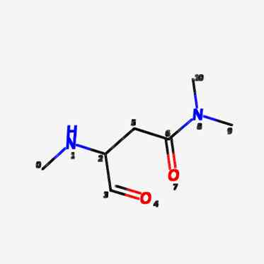 CNC(C=O)CC(=O)N(C)C